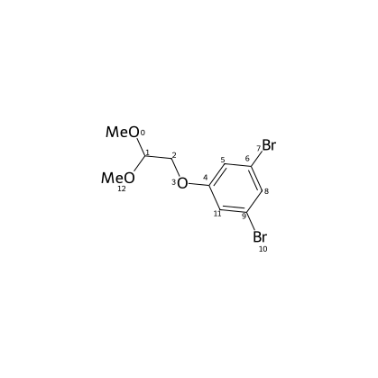 COC(COc1cc(Br)cc(Br)c1)OC